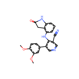 COc1ccc(-c2cncc(C#N)c2Nc2cccc3c2CC(=O)N3)cc1OC